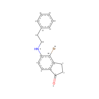 O=C1CCc2c1ccc(NCCc1ccccc1)c2Br